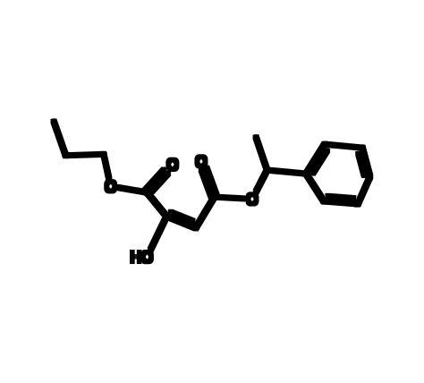 CCCOC(=O)/C(O)=C\C(=O)OC(C)c1ccccc1